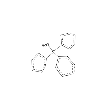 [CH2]C(=O)O[Si](c1ccccc1)(c1ccccc1)c1ccccc1